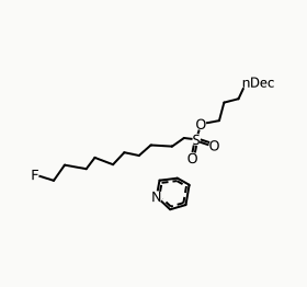 CCCCCCCCCCCCCOS(=O)(=O)CCCCCCCCCCF.c1ccncc1